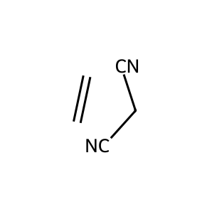 C=C.N#CCC#N